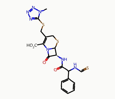 Cn1nnnc1SCC1=C(C(=O)O)N2C(=O)[C@H](NC(=O)C(NC=S)c3ccccc3)C2SC1